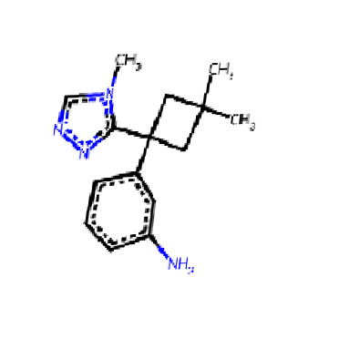 Cn1cnnc1C1(c2cccc(N)c2)CC(C)(C)C1